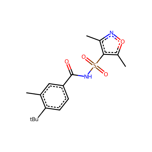 Cc1cc(C(=O)NS(=O)(=O)c2c(C)noc2C)ccc1C(C)(C)C